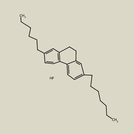 CCCCCCCc1ccc2c(c1)CCc1cc(CCCCCC)ccc1-2.F